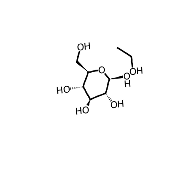 CCO.OC[C@H]1O[C@@H](O)[C@H](O)[C@@H](O)[C@@H]1O